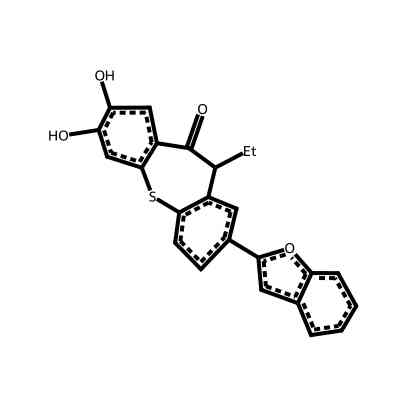 CCC1C(=O)c2cc(O)c(O)cc2Sc2ccc(-c3cc4ccccc4o3)cc21